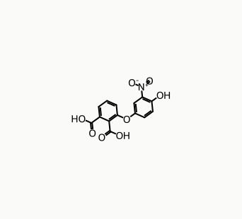 O=C(O)c1cccc(Oc2ccc(O)c([N+](=O)[O-])c2)c1C(=O)O